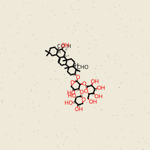 CC1(C)CC[C@]2(C(=O)O)C(O)C[C@]3(C)C(=CCC4C5(C)CC[C@H](O[C@@H]6OC[C@@H](O)[C@H](O[C@@H]7OC[C@@H](O)[C@H](O)C7O)C6O[C@@H]6OC(CO)[C@H](O)[C@H](O)C6O)[C@](C)(C=O)[C@@H]5CCC43C)C2C1